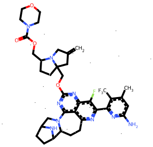 C=C1CN2C(COC(=O)N3CCOCC3)CCC2(COc2nc3c4c(nc(-c5nc(N)cc(C)c5C(F)(F)F)c(F)c4n2)CCC2C4CCC(CN32)N4)C1